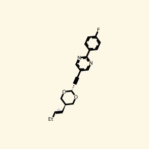 CC/C=C/[C@H]1CO[C@H](C#Cc2cnc(-c3ccc(F)cc3)nc2)OC1